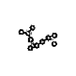 c1ccc(-c2cc(-c3ccc(-n4c5ccccc5c5ccc(-c6ccc(-c7ccc8c9ccccc9n(-c9ccccc9)c8c7)cc6)cc54)cc3)nc(-c3ccccc3)n2)cc1